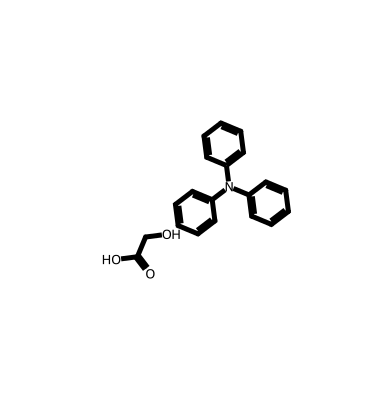 O=C(O)CO.c1ccc(N(c2ccccc2)c2ccccc2)cc1